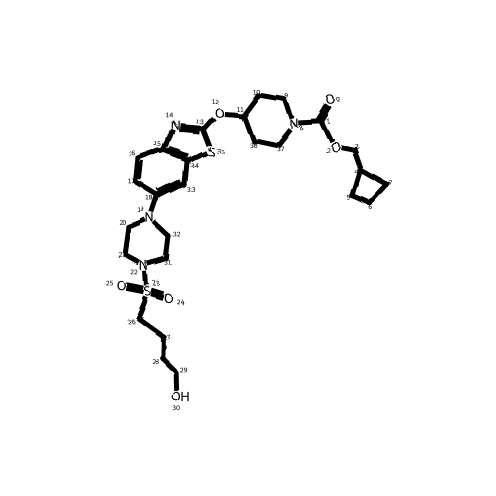 O=C(OCC1CCC1)N1CCC(Oc2nc3ccc(N4CCN(S(=O)(=O)CCCCO)CC4)cc3s2)CC1